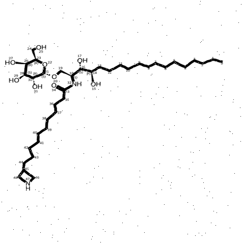 CCCCCCCCCCCCCC[C@@H](O)[C@@H](O)[C@H](CO[C@H]1O[C@H](CO)[C@H](O)[C@H](O)[C@H]1O)NC(=O)CCCCCCCCCCC1CNC1